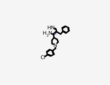 N=C/C(Cc1ccccc1)=C(\N)C1CCN(Cc2ccc(Cl)cc2)CC1